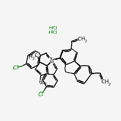 C=Cc1ccc2c(c1)-c1cc(C=C)c[c]([Zr](=[CH]c3ccc(Cl)cc3)(=[CH]c3ccc(Cl)cc3)[C]3=CC(C(C)(C)C)=CC3C)c1C2.Cl.Cl